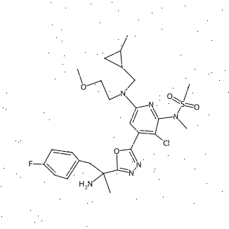 COCCN(CC1CC1C)c1cc(-c2nnc(C(C)(N)Cc3ccc(F)cc3)o2)c(Cl)c(N(C)S(C)(=O)=O)n1